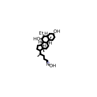 CC[C@H]1[C@@H](O)[C@@H]2[C@H](CC[C@]3(C)C([C@H](C)CC/C=N/O)CC[C@@H]23)[C@@]2(C)CC[C@@H](O)C[C@@H]12